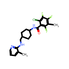 Cc1cccnc1NCC1CCC(NC(=O)c2c(F)c(C)c(F)c(F)c2Cl)CC1